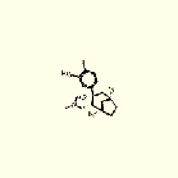 Cc1ccc([C@@]2(O)C[C@H]3CC[C@H](C3)[C@@H]2CN(C)C)cc1O